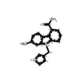 CCCCc1c[c]c2c3c(C(N)=O)cccc3n(Cc3ccoc3)c2c1